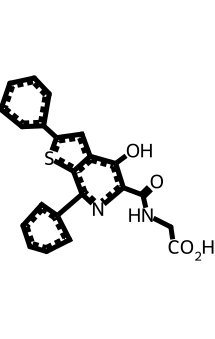 O=C(O)CNC(=O)c1nc(-c2ccccc2)c2sc(-c3ccccc3)cc2c1O